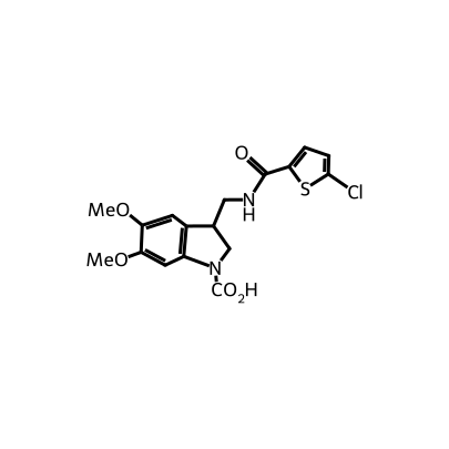 COc1cc2c(cc1OC)N(C(=O)O)CC2CNC(=O)c1ccc(Cl)s1